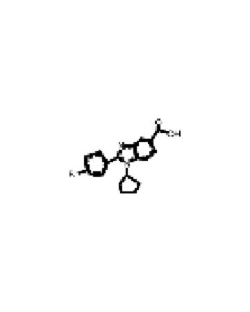 O=C(O)c1ccc2c(c1)nc(-c1ccc(Br)cc1)n2C1CCCC1